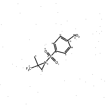 CC1(C(F)(F)F)CN1S(=O)(=O)c1ccc([N+](=O)[O-])cc1